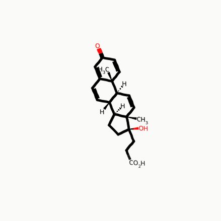 C[C@]12C=CC(=O)C=C1C=C[C@@H]1[C@@H]2C=C[C@@]2(C)[C@H]1CC[C@@]2(O)CCC(=O)O